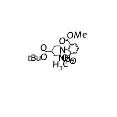 COC(=O)c1cccc(S(C)(=O)=O)c1N1CCC(C(=O)OC(C)(C)C)CC1N